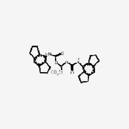 CCOC(=O)C(OC(=O)Nc1c2c(cc3c1CCC3)CCC2)OC(=O)Nc1c2c(cc3c1CCC3)CCC2